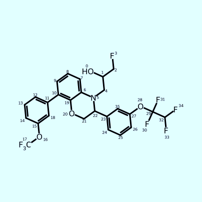 OC(CF)CN1c2cccc(-c3cccc(OC(F)(F)F)c3)c2OCC1c1cccc(OC(F)(F)C(F)F)c1